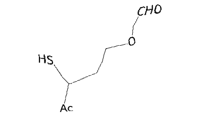 CC(=O)C(S)CCOC=O